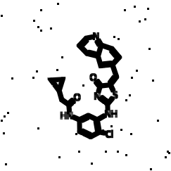 O=C(CC1CC1)Nc1ccc(Cl)c(NC2=NC(=O)C(=Cc3ccc4ncccc4c3)S2)c1